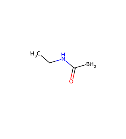 BC(=O)NCC